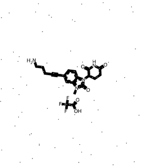 Cn1c(=O)n(C2CCC(=O)NC2=O)c2ccc(C#CCCCN)cc21.O=C(O)C(F)(F)F